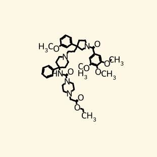 CCOC(=O)CN1CCN(C(=O)NC2(c3ccccc3)CCN(CCC3(c4cccc(OC)c4)CCN(C(=O)c4cc(OC)c(OC)c(OC)c4)C3)CC2)CC1